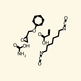 C=CC(=O)O.NC(=O)O.O=C=NCCCCCCN=C=O.c1ccc(OCC2CO2)cc1